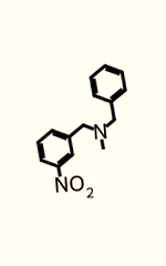 CN(Cc1ccccc1)Cc1cccc([N+](=O)[O-])c1